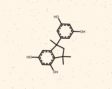 CC1(C)CC(C)(c2cc(O)cc(O)c2)c2cc(O)cc(O)c21